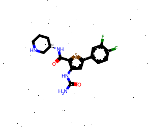 NC(=O)Nc1cc(-c2ccc(F)c(F)c2)sc1C(=O)N[C@H]1CCCNC1